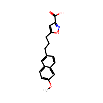 COc1ccc2cc(CCCc3cc(C(=O)O)no3)ccc2c1